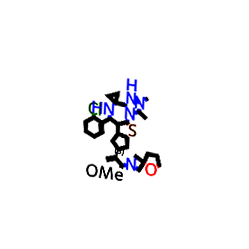 C=C(C(OC)N1CC2(CCCO2)C1)[C@@H]1CC2SC3C(C(C4=CCCCC4Cl)NC4(CC4)C4NN(C)C(C)N34)C2C1